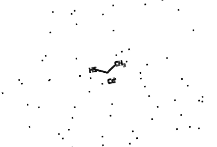 CCS.[Cd]